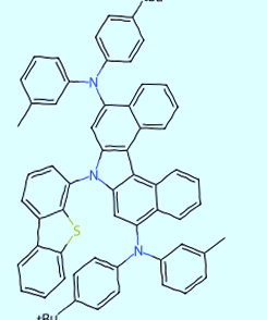 Cc1cccc(N(c2ccc(C(C)(C)C)cc2)c2cc3c(c4ccccc24)c2c4ccccc4c(N(c4ccc(C(C)(C)C)cc4)c4cccc(C)c4)cc2n3-c2cccc3c2sc2ccccc23)c1